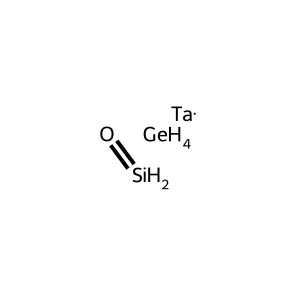 O=[SiH2].[GeH4].[Ta]